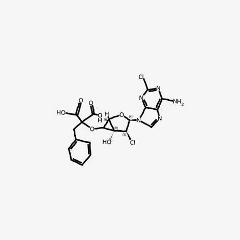 Nc1nc(Cl)nc2c1ncn2[C@@H]1O[C@@H]2C(OC(Cc3ccccc3)(C(=O)O)C(=O)O)[C@]2(O)[C@@H]1Cl